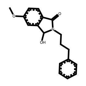 COc1ccc2c(c1)C(O)N(CCCc1ccccc1)C2=O